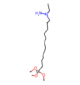 CCN(N)CCCCCCCCCCC[Si](OC)(OC)OC